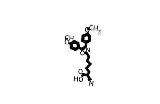 COc1ccc(-c2nc(CCCCCC(C#N)C(=O)O)oc2-c2ccc(OC)cc2)cc1